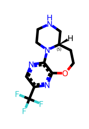 FC(F)(F)c1cnc2c(n1)OCC[C@H]1CNCCN21